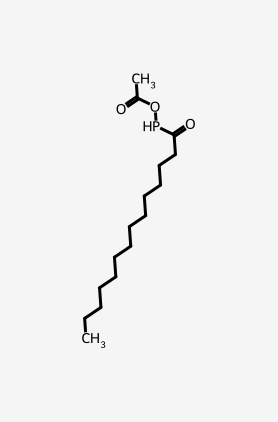 CCCCCCCCCCCCCC(=O)POC(C)=O